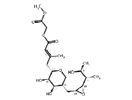 COC(=O)COC(=O)/C=C(\C)C[C@@H]1OC[C@H](C[C@@H]2O[C@H]2[C@@H](C)[C@H](C)O)[C@@H](O)[C@H]1O